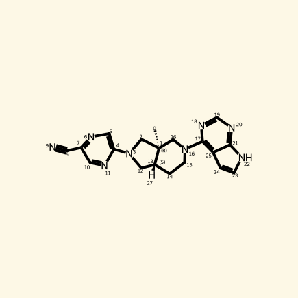 C[C@@]12CN(c3cnc(C#N)cn3)C[C@H]1CCN(c1ncnc3[nH]ccc13)C2